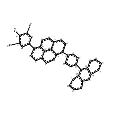 Fc1cc(-c2ccc3ccc4c(-c5ccc(-c6c7ccccc7cc7ccccc67)cc5)ccc5ccc2c3c54)cc(F)c1F